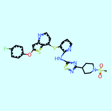 CS(=O)(=O)N1CCC(c2nsc(Nc3ncccc3Sc3ccnc4cc(Oc5ccc(F)cc5)sc34)n2)CC1